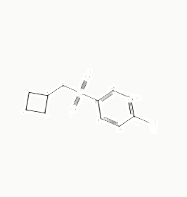 O=S(=O)(CC1CCC1)c1ccc(Cl)nc1